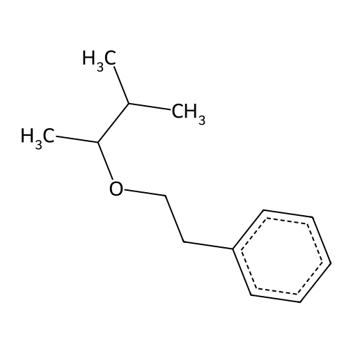 CC(C)C(C)OCCc1ccccc1